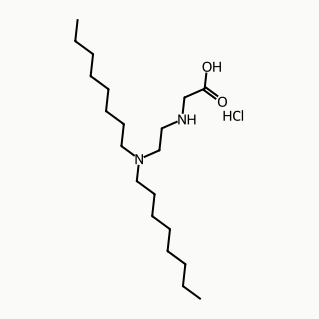 CCCCCCCCN(CCCCCCCC)CCNCC(=O)O.Cl